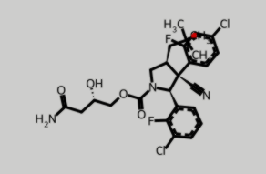 CC(C)(C)C[C@@H]1CN(C(=O)OC[C@@H](O)CC(N)=O)[C@H](c2cccc(Cl)c2F)[C@@]1(C#N)c1ccc(Cl)cc1F